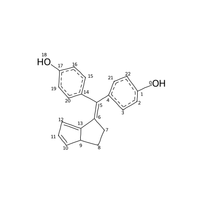 Oc1ccc(C(=C2CCC3C=CC=C23)c2ccc(O)cc2)cc1